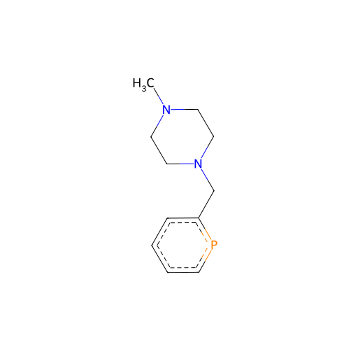 CN1CCN(Cc2ccccp2)CC1